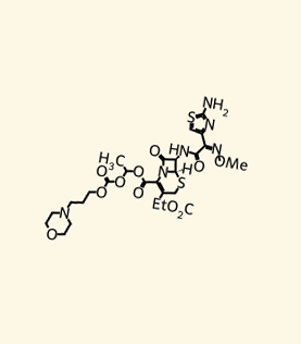 CCOC(=O)C1=C(C(=O)OC(C)OC(=O)OCCCN2CCOCC2)N2C(=O)[C@@H](NC(=O)/C(=N\OC)c3csc(N)n3)[C@H]2SC1